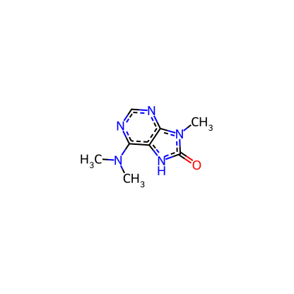 CN(C)c1ncnc2c1[nH]c(=O)n2C